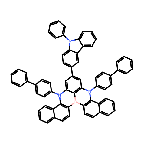 c1ccc(-c2ccc(N3c4cc(-c5ccc6c(c5)c5ccccc5n6-c5ccccc5)cc5c4B(c4ccc6ccccc6c43)c3ccc4ccccc4c3N5c3ccc(-c4ccccc4)cc3)cc2)cc1